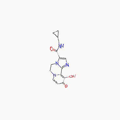 O=C(NC1CC1)c1cnc2n1CCn1ccc(=O)c(O)c1-2